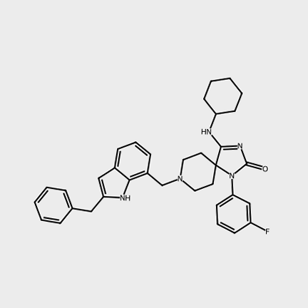 O=C1N=C(NC2CCCCC2)C2(CCN(Cc3cccc4cc(Cc5ccccc5)[nH]c34)CC2)N1c1cccc(F)c1